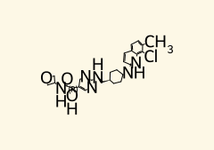 Cc1ccc2ccc(N[C@H]3CC[C@H](CNc4ncc([C@@H](O)C(=O)NC5COC5)cn4)CC3)nc2c1Cl